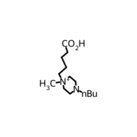 CCCCN1CC[N+](C)(CCCCC(=O)O)CC1